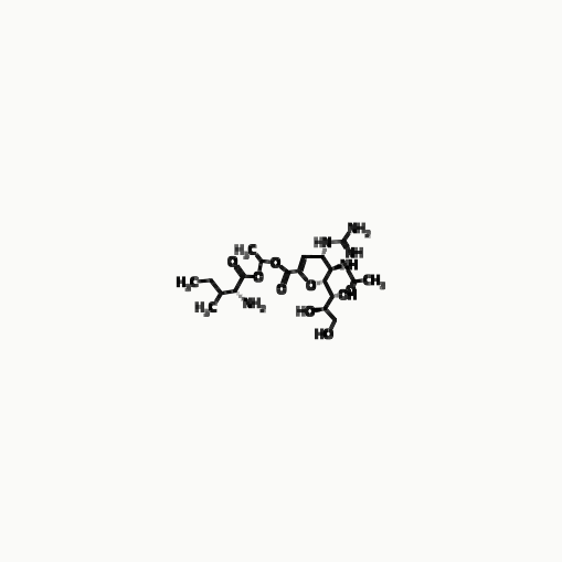 CCC(C)[C@@H](N)C(=O)OC(C)OC(=O)C1=C[C@H](NC(=N)N)[C@@H](NC(C)=O)[C@H]([C@H](O)[C@H](O)CO)O1